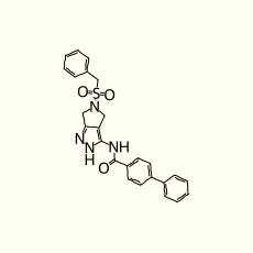 O=C(Nc1[nH]nc2c1CN(S(=O)(=O)Cc1ccccc1)C2)c1ccc(-c2ccccc2)cc1